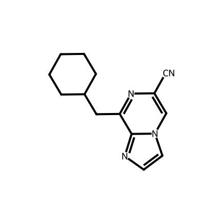 N#Cc1cn2ccnc2c(CC2CCCCC2)n1